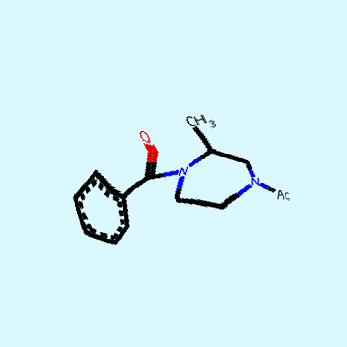 CC(=O)N1CCN(C(=O)c2ccccc2)C(C)C1